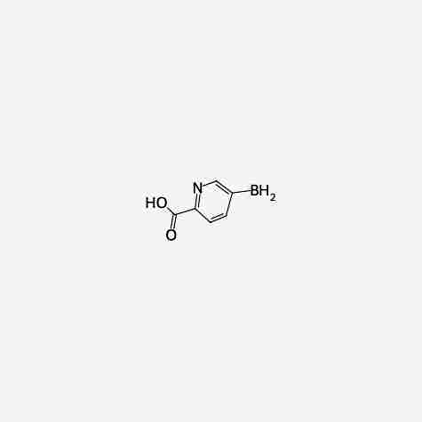 Bc1ccc(C(=O)O)nc1